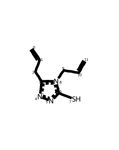 C=CCc1nnc(S)n1CC=C